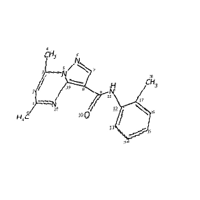 Cc1cc(C)n2ncc(C(=O)Nc3ccccc3C)c2n1